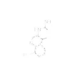 NC(=O)Nc1cnc2c(O)cccn2c1=O